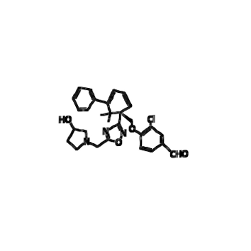 CC1(C)C(c2ccccc2)=CC=C[C@]1(COc1ccc(C=O)cc1Cl)c1noc(CN2CCC(O)C2)n1